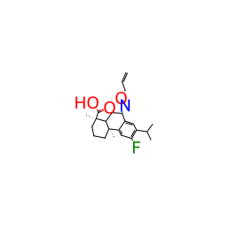 C=CCO/N=C1\CC2[C@](C)(C(=O)O)CCC[C@]2(C)c2cc(F)c(C(C)C)cc21